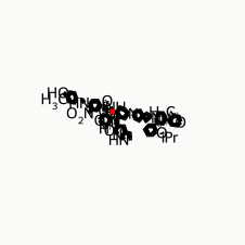 CC(C)Oc1ccccc1[C@@H]1CN([C@H]2CCOC[C@@H]2C)CCN1C1CC2(CCN(c3ccc(C(=O)NS(=O)(=O)c4ccc(NC[C@H]5CC[C@](C)(O)CC5)c([N+](=O)[O-])c4)c(N4c5cc6cc[nH]c6nc5O[C@H]5COCC[C@@H]54)c3)CC2)C1